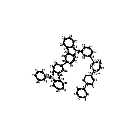 C1=C(c2ccccc2)CCC(c2ccnc(-c3cccc(-n4c5ccccc5c5cc(-c6ccc7c(c6)c6ccccc6n7-c6ccccc6)ccc54)c3)n2)=C1